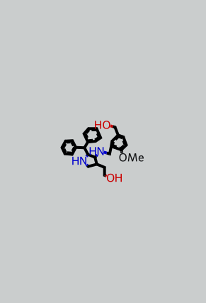 COc1ccc(CO)cc1CNC1C(CCO)CNC1C(c1ccccc1)c1ccccc1